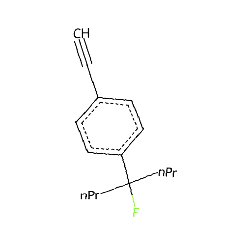 C#Cc1ccc(C(F)(CCC)CCC)cc1